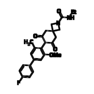 CCNC(=O)N1CC2(CC(=O)C(c3c(C)cc(-c4ccc(F)cc4)cc3OC)C(=O)C2)C1